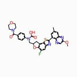 COc1cnc2c(-c3nc4cc(F)c5c(c4s3)CC(CN(C(=O)O)c3ccc(C(=O)N4CCOCC4)cc3)O5)cc(C)cc2n1